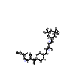 CC(=O)O[C@@H](C)/C=C\C(=O)N[C@H]1CC[C@@H](C/C=C(C)/C=C/[C@@H]2C[C@]3(CO3)CC(C)(C)O2)CC1